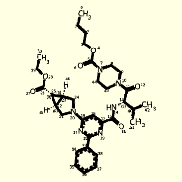 CCCCOC(=O)N1CCN(C(=O)[C@@H](NC(=O)c2cc(N3C[C@@H]4[C@H](C3)[C@H]4C(=O)OCC)nc(-c3ccccc3)n2)C(C)C)CC1